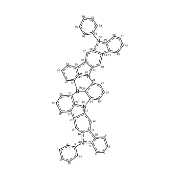 c1ccc(-n2c3ccccc3c3cc4c(cc32)c2cccc3c2n4-c2cccc4c2B3c2cccc3c5cc6c(cc5n-4c23)c2ccccc2n6-c2ccccc2)cc1